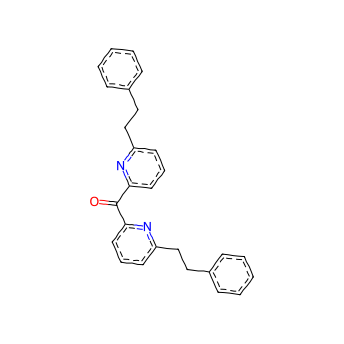 O=C(c1cccc(CCc2ccccc2)n1)c1cccc(CCc2ccccc2)n1